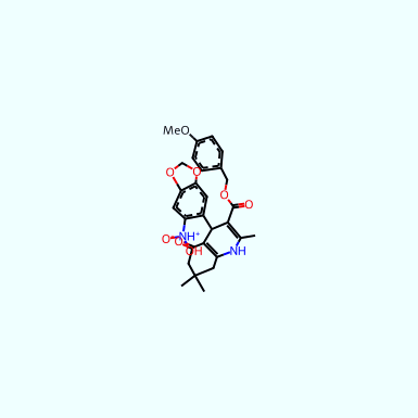 COc1ccc(COC(=O)C2=C(C)NC3=C(C(=O)CC(C)(C)C3)C2c2cc3c(cc2[NH+]([O-])O)OCO3)cc1